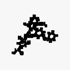 C=CC(=O)N1C[C@@H]2C(C#Cc3c(-c4ccc(Oc5ccccc5)cc4OC)c4c(N)ncnc4n3C)[C@@H]2C1